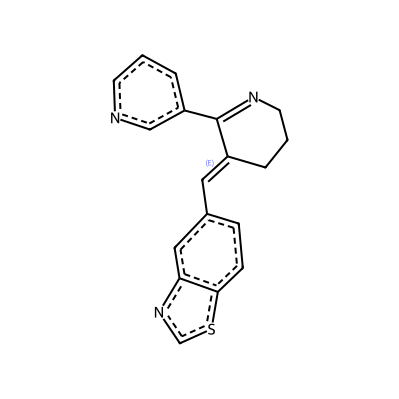 C(=C1/CCCN=C1c1cccnc1)/c1ccc2scnc2c1